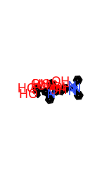 C=Cc1c(O)c(O)c(O)c(O)c1-c1cc(-c2c(O)c(C)c(O)c(O)c2O)c2c(c1)c1ccccc1n2-c1ccc2c(c1)Cc1cc(-c3nc(-c4ccccc4)nc(-c4ccccc4)n3)ccc1-2